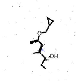 C=C(/C=C(\C)[C@H](O)CC)OCC1CC1